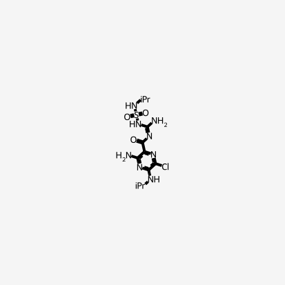 CC(C)Nc1nc(N)c(C(=O)/N=C(/N)NS(=O)(=O)NC(C)C)nc1Cl